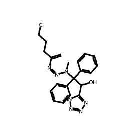 C=C(CCCCl)/N=N\N(C)C(c1ccccc1)(c1ccccc1)C(O)c1nnn[nH]1